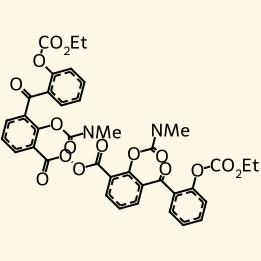 CCOC(=O)Oc1ccccc1C(=O)c1cccc(C(=O)OOC(=O)c2cccc(C(=O)c3ccccc3OC(=O)OCC)c2OC(=O)NC)c1OC(=O)NC